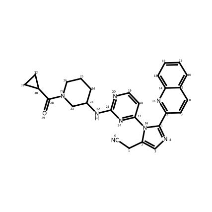 N#CCc1cnc(-c2ccc3ccccc3n2)n1-c1ccnc(NC2CCCN(C(=O)C3CC3)C2)n1